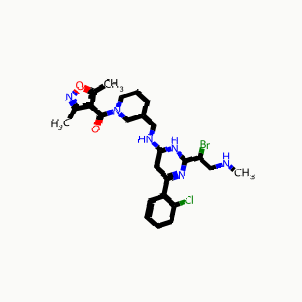 CNCC(Br)C1N=C(C2C=CCCC2Cl)CC(NCC2CCCN(C(=O)c3c(C)noc3C)C2)N1